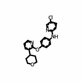 Clc1ccc(Nc2ccc(Oc3ncccc3C3CCOCC3)cc2)nc1